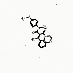 CSc1ccc(N(C)C(=O)c2c(O)c3cccc4c3n(c2=O)CCO4)cc1